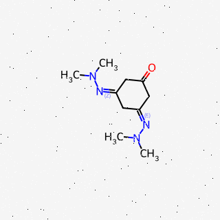 CN(C)/N=C1\CC(=O)C/C(=N/N(C)C)C1